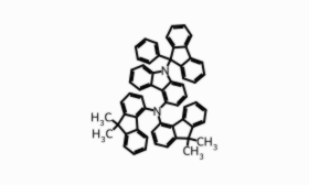 CC1(C)c2ccccc2-c2c(N(c3cccc4c3-c3ccccc3C4(C)C)c3cccc4c3c3ccccc3n4C3(c4ccccc4)c4ccccc4-c4ccccc43)cccc21